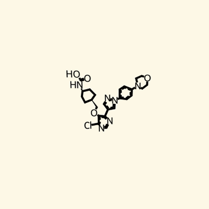 O=C(O)N[C@H]1CC[C@@H](COc2c(Cl)ncnc2-c2cnn(-c3ccc(N4CCOCC4)cc3)c2)CC1